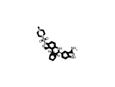 CN1CCN(S(=O)(=O)n2ncc3c4c(ccc32)N[C@@H](c2ccc3[nH]nc(N)c3c2)[C@@H]2C3CCC(C3)[C@H]42)CC1